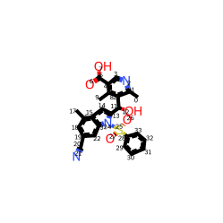 Cc1ncc(C(=O)O)c(C)c1C(O)c1cc2c(C)cc(C#N)cc2n1S(=O)(=O)c1ccccc1